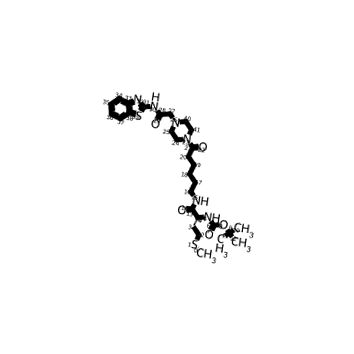 CSCC[C@@H](NC(=O)OC(C)(C)C)C(=O)NCCCCCC(=O)N1CCN(CC(=O)Nc2nc3ccccc3s2)CC1